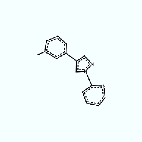 Cc1cccc(-c2cnn(-c3ccccn3)c2)c1